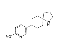 Oc1ccc(C2CCC3(CCCN3)CC2)cn1